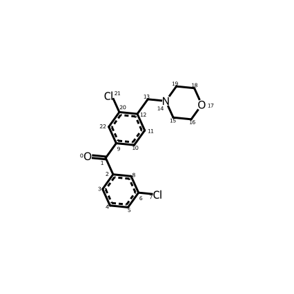 O=C(c1cccc(Cl)c1)c1ccc(CN2CCOCC2)c(Cl)c1